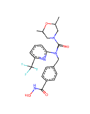 CC1CN(C(=O)N(Cc2ccc(C(=O)NO)cc2)c2cccc(C(F)(F)F)n2)CC(C)O1